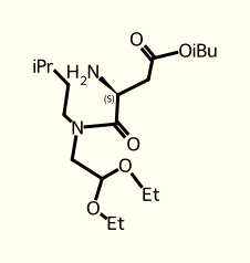 CCOC(CN(CCC(C)C)C(=O)[C@@H](N)CC(=O)OCC(C)C)OCC